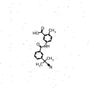 Cc1ccc(NC(=O)c2cccc(C(C)(C)C#N)c2)cc1C(=O)O